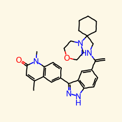 C=C(NCC1(N2CCOCC2)CCCCC1)c1ccc2[nH]nc(-c3ccc4c(c3)c(C)cc(=O)n4C)c2c1